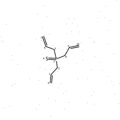 C=CCP(=S)(CC=C)CC=C